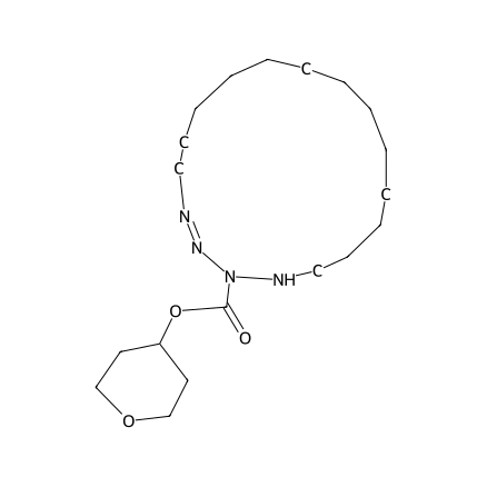 O=C(OC1CCOCC1)N1N=NCCCCCCCCCCCCCN1